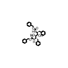 O=C(N[C@@H](Cc1ccccc1)[C@H](O)[C@H](O)[C@H](Cc1ccccc1)NC(=O)OCc1ccccc1)OCc1ccccc1